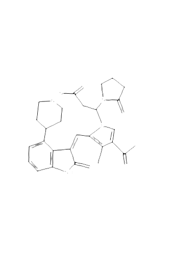 Cc1c(C(=O)O)cn(C(CC(N)=O)N2CCCC2=O)c1C=C1C(=O)Nc2cccc(C3CCNCC3)c21